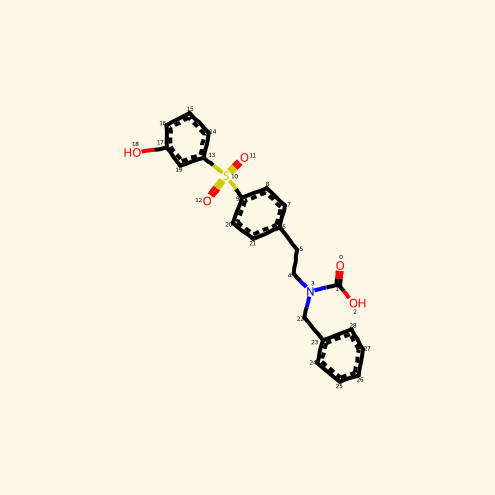 O=C(O)N(CCc1ccc(S(=O)(=O)c2cccc(O)c2)cc1)Cc1ccccc1